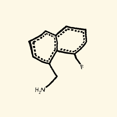 NCc1cccc2cccc(F)c12